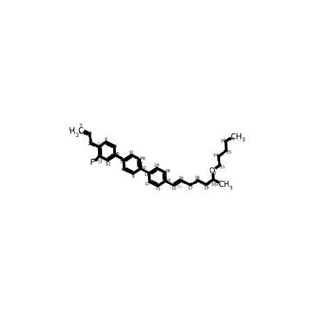 C=CCc1ccc(-c2ccc(-c3ccc(/C=C/CCCC(C)OCCCCC)cc3)cc2)cc1F